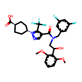 COc1cccc(OC)c1C(O)CN(Cc1cc(F)cc(F)c1)C(=O)c1cnn([C@H]2CC[C@H](C(=O)O)CC2)c1C(F)(F)F